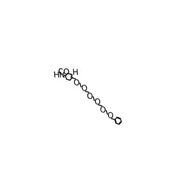 O=C(O)NC1CCC(COCCOCCOCCOCCOCCOCc2ccccc2)CC1